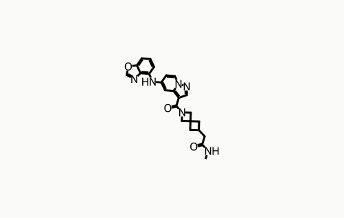 CNC(=O)CC1CC2(C1)CN(C(=O)c1cnn3ccc(Nc4cccc5ocnc45)cc13)C2